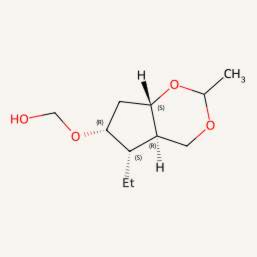 CC[C@H]1[C@@H]2COC(C)O[C@H]2C[C@H]1OCO